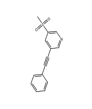 CS(=O)(=O)c1cncc(C#Cc2ccccc2)c1